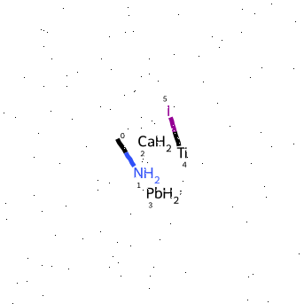 CN.[CaH2].[PbH2].[Ti][I]